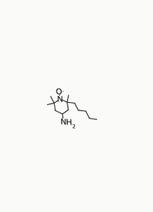 CCCCCC1(C)CC(N)CC(C)(C)N1[O]